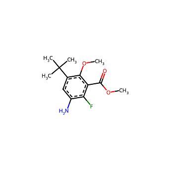 COC(=O)c1c(F)c(N)cc(C(C)(C)C)c1OC